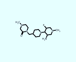 CN1CCN(CC2CCN(C3C(N)CN(C)CC3F)CC2)C(=O)C1